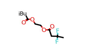 CCC(C)C(=O)OCCOC(=O)CC(C)(F)F